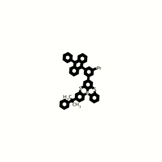 CC(C)c1cc(-c2cc3c4c(c2)Sc2cc(C(C)(C)c5ccccc5)ccc2B4c2ccccc2S3)cc(-c2c3ccccc3c(-c3ccccc3)c3ccccc23)c1